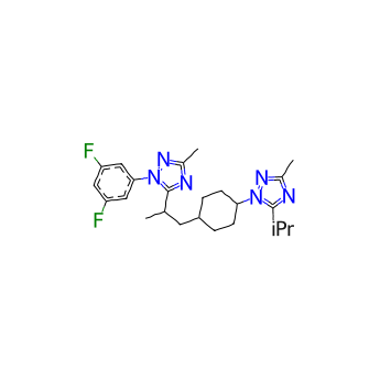 Cc1nc(C(C)CC2CCC(n3nc(C)nc3C(C)C)CC2)n(-c2cc(F)cc(F)c2)n1